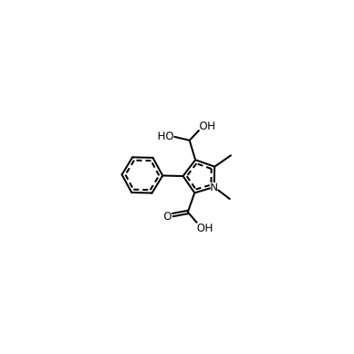 Cc1c(C(O)O)c(-c2ccccc2)c(C(=O)O)n1C